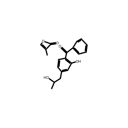 CC(O)Cc1ccc(C(=O)c2ccccc2)c(O)c1.CC1=COC1=O